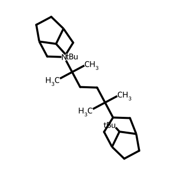 CC(C)(C)C1C2CCC1CC(C(C)(C)CCC(C)(C)N1CC3CCC(C1)C3C(C)(C)C)C2